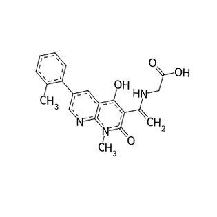 C=C(NCC(=O)O)c1c(O)c2cc(-c3ccccc3C)cnc2n(C)c1=O